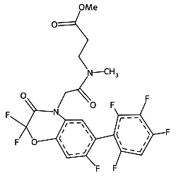 COC(=O)CCN(C)C(=O)CN1C(=O)C(F)(F)Oc2cc(F)c(-c3c(F)cc(F)c(F)c3F)cc21